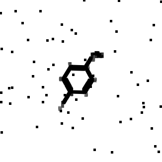 [CH2]CCCc1ccc(I)cc1